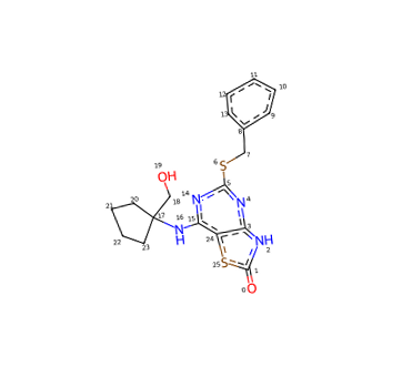 O=c1[nH]c2nc(SCc3ccccc3)nc(NC3(CO)CCCC3)c2s1